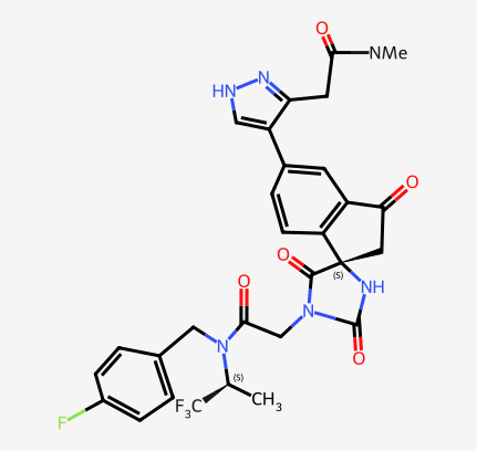 CNC(=O)Cc1n[nH]cc1-c1ccc2c(c1)C(=O)C[C@]21NC(=O)N(CC(=O)N(Cc2ccc(F)cc2)[C@@H](C)C(F)(F)F)C1=O